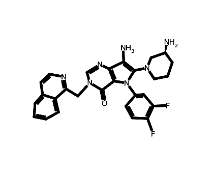 Nc1c(N2CCC[C@H](N)C2)n(-c2ccc(F)c(F)c2)c2c(=O)n(Cc3nccc4ccccc34)cnc12